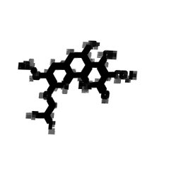 CCCCOc1cc2c(nc1OCC(F)F)-c1[nH]c(=O)c(C(=O)O)c(O)c1C(C(C)C)C2